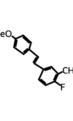 COc1ccc(/C=C/c2ccc(F)c(C=O)c2)cc1